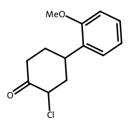 COc1ccccc1C1CCC(=O)C(Cl)C1